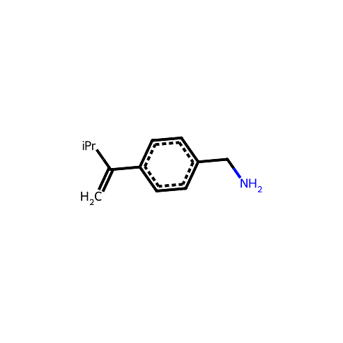 C=C(c1ccc(CN)cc1)C(C)C